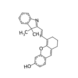 CC1(C)C(/C=C/C2=C3Oc4cc(O)ccc4C=C3CCC2)=Nc2ccccc21